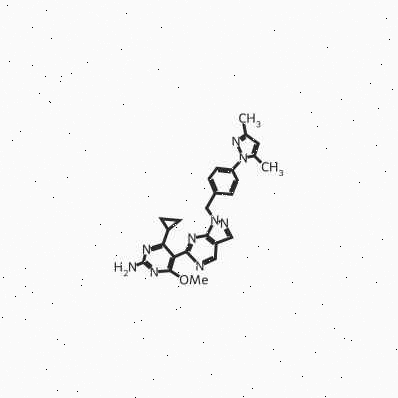 COc1nc(N)nc(C2CC2)c1-c1ncc2cnn(Cc3ccc(-n4nc(C)cc4C)cc3)c2n1